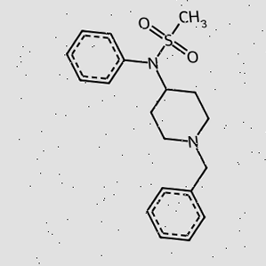 CS(=O)(=O)N(c1ccccc1)C1CCN(Cc2ccccc2)CC1